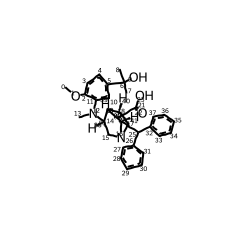 COc1ccc(C(C)(C)O)cc1N(C)[C@H]1CN2CC[C@H]1[C@H](C(=O)O)[C@@H]2C(c1ccccc1)c1ccccc1